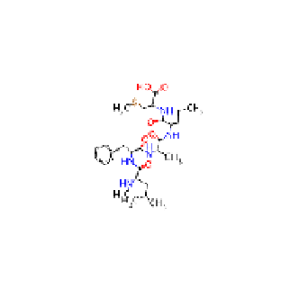 CCCC(NC(=O)C(C)NC(=O)C(Cc1ccccc1)NC(=O)C(CC(C)C)NC)C(=O)NC(CSC)C(=O)O